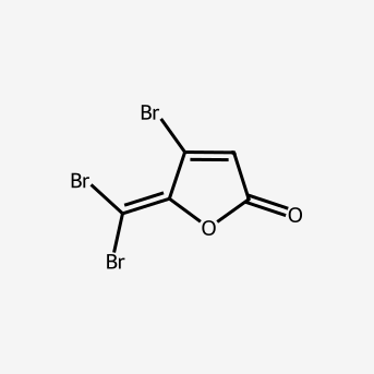 O=C1C=C(Br)C(=C(Br)Br)O1